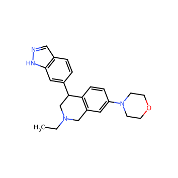 CCN1Cc2cc(N3CCOCC3)ccc2C(c2ccc3cn[nH]c3c2)C1